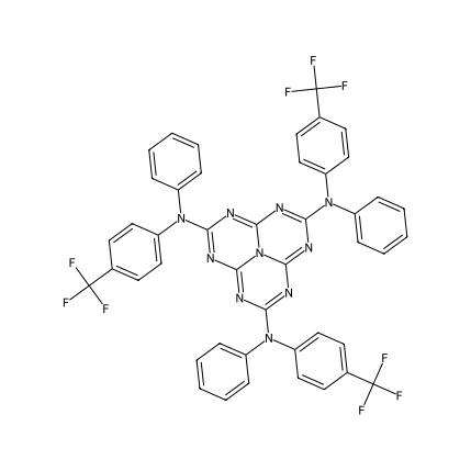 FC(F)(F)c1ccc(N(C2=NC3=NC(N(c4ccccc4)c4ccc(C(F)(F)F)cc4)=NC4=NC(N(c5ccccc5)c5ccc(C(F)(F)F)cc5)=NC(=N2)N34)c2ccccc2)cc1